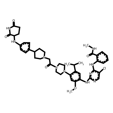 CNC(=O)c1ccccc1Nc1nc(Nc2cc(C(C)C)c(N3CCN(C(=O)CN4CCC(c5ccc(NC6CCC(=O)NC6=O)cc5)CC4)CC3)cc2OC)ncc1Cl